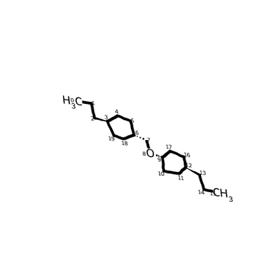 CCC[C@H]1CC[C@H](CO[C@H]2CC[C@H](CCC)CC2)CC1